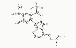 CCC(C)COc1cccc2c3n(nc12)CC(C(C)(C)C)n1cc(C(=O)O)c(=O)cc1-3